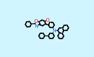 c1ccc(-c2cccc(N(c3ccc4oc5cc6oc(-c7ccccc7)nc6cc5c4c3)c3cc4ccccc4c4ccccc34)c2)cc1